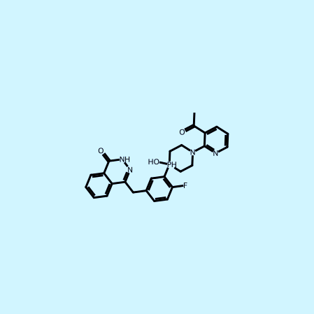 CC(=O)c1cccnc1N1CC[PH](O)(c2cc(Cc3n[nH]c(=O)c4ccccc34)ccc2F)CC1